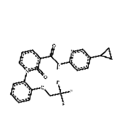 O=C(Nc1ccc(C2CC2)cn1)c1cccn(-c2ccccc2OCC(F)(F)F)c1=O